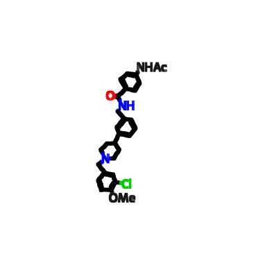 COc1ccc(CN2CCC(c3cccc(CNC(=O)c4ccc(NC(C)=O)cc4)c3)CC2)cc1Cl